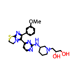 COc1cccc(-c2nc3n(c2-c2ccnc(N[C@@H]4CCCN(C[C@@H](O)CO)C4)n2)CCS3)c1